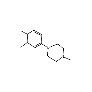 CC1C=CC(N2CCN(C)CC2)=CC1C